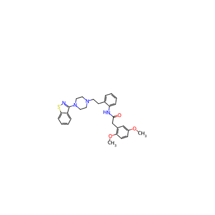 COc1ccc(OC)c(CC(=O)Nc2ccccc2CCN2CCN(c3nsc4ccccc34)CC2)c1